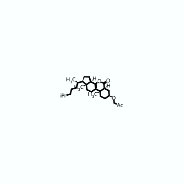 CC(=O)CO[C@H]1CC[C@]2(C)C3=C(OC(=O)[C@H]2C1)[C@@H]1CC[C@H]([C@H](C)CCCC(C)C)[C@@]1(C)CC3